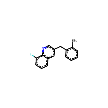 CC(C)(C)c1ccccc1Cc1cnc2c(F)cccc2c1